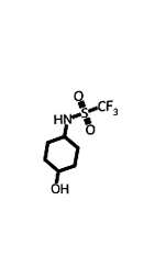 O=S(=O)(NC1CCC(O)CC1)C(F)(F)F